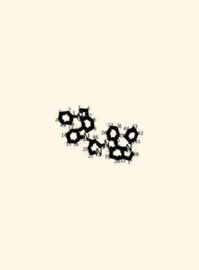 c1ccc(-n2ccc3ccc4c(c5ccccc5n4-c4ccnc(-n5c6ccccc6c6c7c(ccc65)ccn7-c5ccccc5)c4)c32)cc1